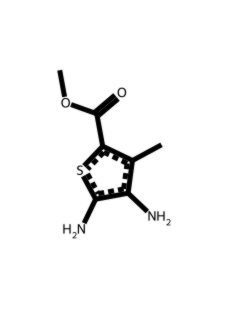 COC(=O)c1sc(N)c(N)c1C